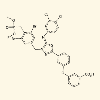 O=C(O)c1cccc(Oc2cccc(-c3nn(Cc4cc(Br)c(CP(=O)(OF)OF)c(Br)c4)c(=Nc4ccc(Cl)c(Cl)c4)s3)c2)c1